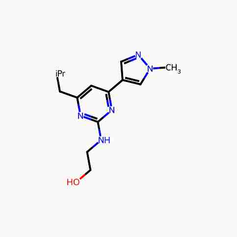 CC(C)Cc1cc(-c2cnn(C)c2)nc(NCCO)n1